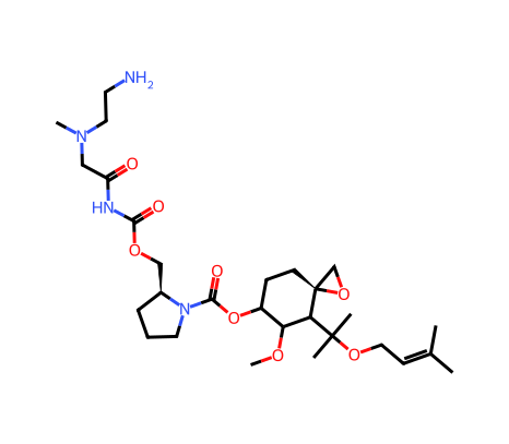 COC1C(OC(=O)N2CCC[C@H]2COC(=O)NC(=O)CN(C)CCN)CC[C@]2(CO2)C1C(C)(C)OCC=C(C)C